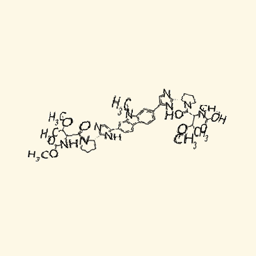 COC(=O)N[C@H](C(=O)N1CCC[C@H]1c1ncc(-c2ccc3c4ccc(-c5cnc([C@@H]6CCCN6C(=O)[C@H]([C@@H](C)OC)N(C)C(=O)O)[nH]5)cc4n(C)c3c2)[nH]1)[C@@H](C)OC